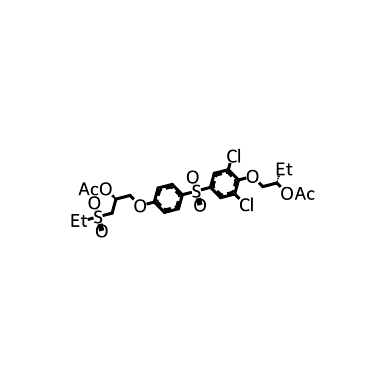 CC[C@@H](COc1c(Cl)cc(S(=O)(=O)c2ccc(OC[C@@H](CS(=O)(=O)CC)OC(C)=O)cc2)cc1Cl)OC(C)=O